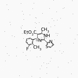 CCOC(=O)C1=C(C)NC(c2nccs2)=N[C@H]1c1cccc(F)c1C